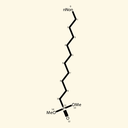 CCCCCCCCCCCCCCCCCCCP(=O)(OC)OC